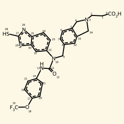 O=C(O)CCN1Cc2ccc(CN(C(=O)Nc3ccc(OC(F)(F)F)cc3)c3ccc4nc(S)sc4c3)cc2C1